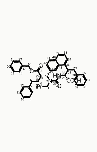 CC(C)CN(C[C@H](CCc1ccccc1)C(=O)OCc1ccccc1)C(=O)N[C@H](C(=O)O)C(Cc1ccccc1)c1cccc2ccccc12